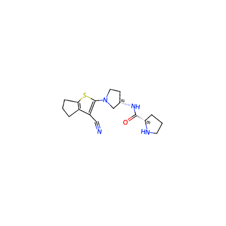 N#Cc1c(N2CC[C@H](NC(=O)[C@@H]3CCCN3)C2)sc2c1CCC2